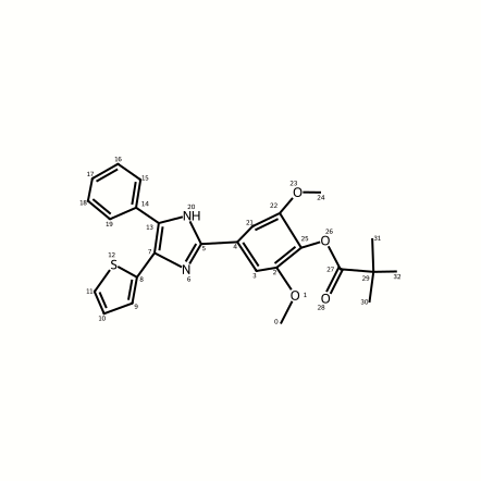 COc1cc(-c2nc(-c3cccs3)c(-c3ccccc3)[nH]2)cc(OC)c1OC(=O)C(C)(C)C